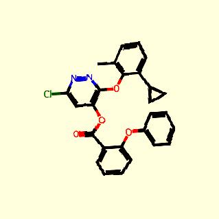 Cc1cccc(C2CC2)c1Oc1nnc(Cl)cc1OC(=O)c1ccccc1Oc1ccccc1